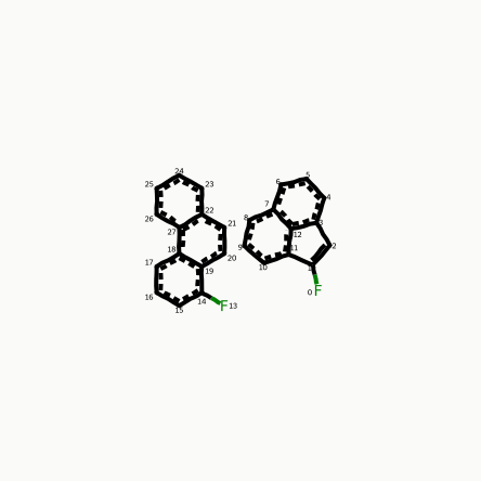 FC1=Cc2cccc3cccc1c23.Fc1cccc2c1ccc1ccccc12